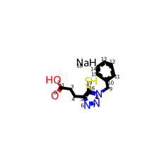 O=C(O)CCc1nnn(Cc2ccccc2)c1S.[NaH]